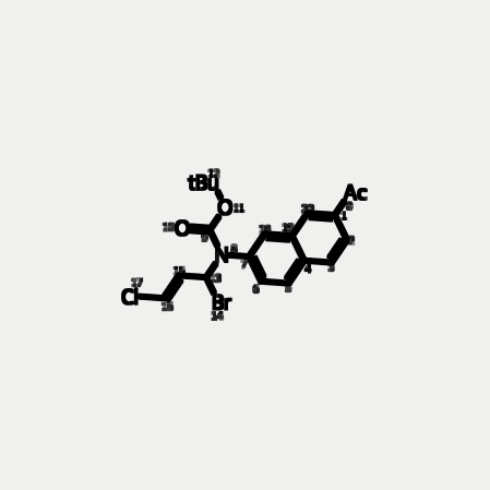 CC(=O)c1ccc2ccc(N(C(=O)OC(C)(C)C)C(Br)C=CCl)cc2c1